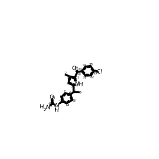 Cc1cc(C(C)c2ccc(NC(N)=O)cc2)[nH]c1C(=O)c1ccc(Cl)cc1